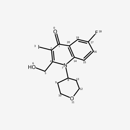 O=c1c(I)c(CO)n(C2CCOCC2)c2ccc(F)cc12